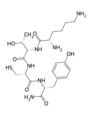 C[C@@H](O)[C@H](NC(=O)[C@@H](N)CCCCN)C(=O)N[C@@H](CS)C(=O)N[C@H](Cc1ccc(O)cc1)C(N)=O